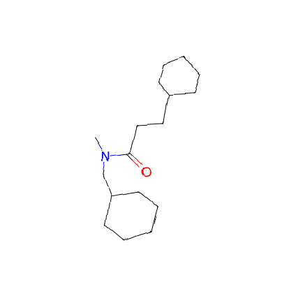 CN(CC1CCCCC1)C(=O)CCC1CCCCC1